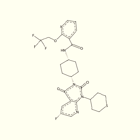 O=C(N[C@H]1CC[C@@H](n2c(=O)c3cc(F)cnc3n(C3CCSCC3)c2=O)CC1)c1cccnc1OCC(F)(F)F